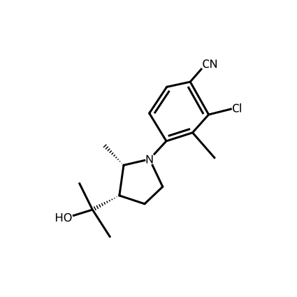 Cc1c(N2CC[C@H](C(C)(C)O)[C@@H]2C)ccc(C#N)c1Cl